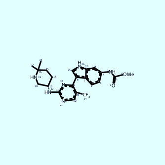 COC(=O)Nc1ccc2c(-c3nc(N[C@H]4CCC(C)(C)NC4)ncc3C(F)(F)F)c[nH]c2c1